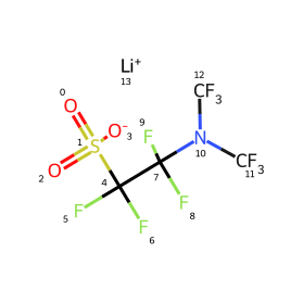 O=S(=O)([O-])C(F)(F)C(F)(F)N(C(F)(F)F)C(F)(F)F.[Li+]